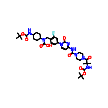 CC(C)(C)OC(=O)NC1CCC(N(Cc2ccc(-n3ccc(NC(=O)N4CCN(C(=O)C(C)(C)NC(=O)OC(C)(C)C)CC4)nc3=O)cc2F)C(=O)O)CC1